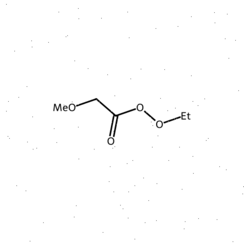 CCOOC(=O)COC